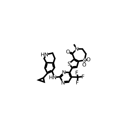 CN1CCS(=O)(=O)c2cc(-c3nc(Nc4cc5c(cc4C4CC4)CNCC5)ncc3C(F)(F)F)sc2C1=O